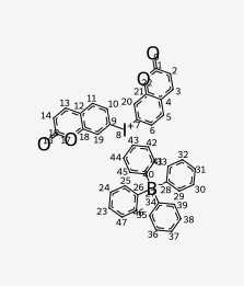 O=c1ccc2ccc([I+]c3ccc4ccc(=O)oc4c3)cc2o1.c1ccc([B-](c2ccccc2)(c2ccccc2)c2ccccc2)cc1